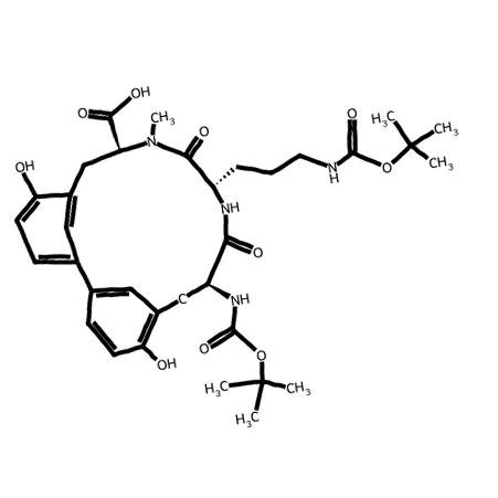 CN1C(=O)[C@H](CCCNC(=O)OC(C)(C)C)NC(=O)[C@@H](NC(=O)OC(C)(C)C)Cc2cc(ccc2O)-c2ccc(O)c(c2)C[C@H]1C(=O)O